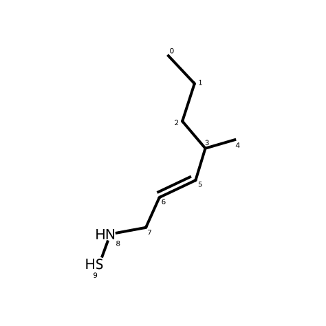 CCCC(C)/C=C/CNS